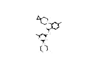 Cc1ccc(C(=O)Nc2cc(C)nc(N3CCO[C@H](C)C3)n2)c(N2CCC3(CC2)CC3)c1